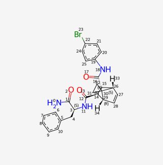 NC(=O)[C@H](Cc1ccccc1)NC(=O)[C@H]1[C@H](C(=O)Nc2ccc(Br)cc2)[C@@H]2C=C[C@H]1C21CC1